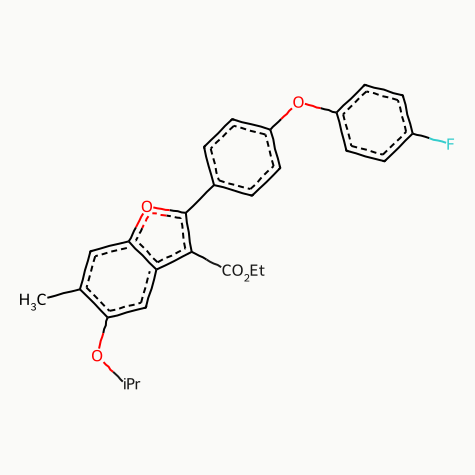 CCOC(=O)c1c(-c2ccc(Oc3ccc(F)cc3)cc2)oc2cc(C)c(OC(C)C)cc12